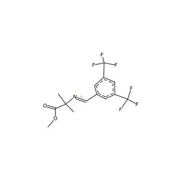 COC(=O)C(C)(C)/N=C/c1cc(C(F)(F)F)cc(C(F)(F)F)c1